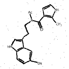 CC(=O)N(CCc1c[nH]c2ccc(O)cc12)C(=O)c1cc[nH]c1C